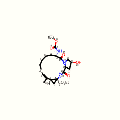 CCOC(=O)[C@@]12C[C@H]1/C(C)=C\CCCCC[C@H](NC(=O)OC(C)(C)C)C(=O)N1C[C@@H](O)C[C@H]1C(=O)N2